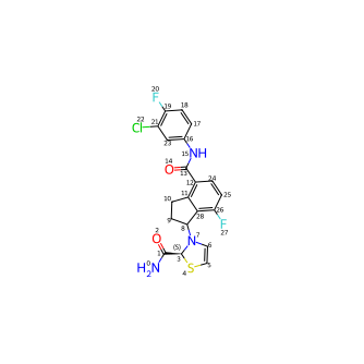 NC(=O)[C@@H]1SC=CN1C1CCc2c(C(=O)Nc3ccc(F)c(Cl)c3)ccc(F)c21